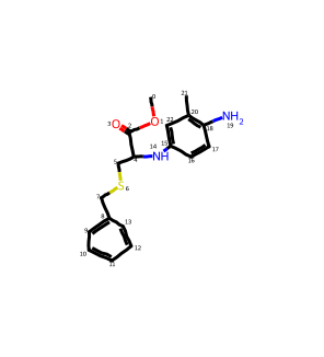 COC(=O)C(CSCc1ccccc1)Nc1ccc(N)c(C)c1